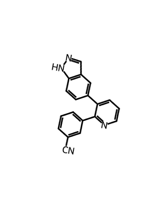 N#Cc1cccc(-c2ncccc2-c2ccc3[nH]ncc3c2)c1